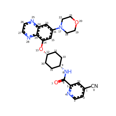 N#Cc1ccnc(C(=O)N[C@H]2CC[C@@H](Oc3cc(N4CCOCC4)cc4nccnc34)CC2)c1